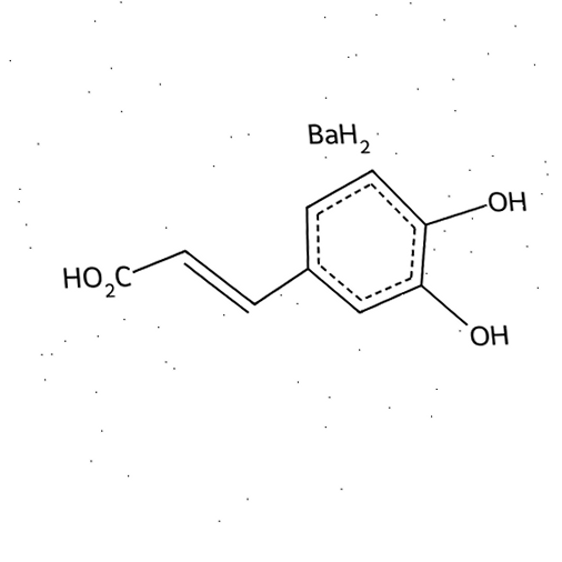 O=C(O)C=Cc1ccc(O)c(O)c1.[BaH2]